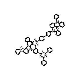 c1ccc(-c2cc(-c3cc(-c4nc(-c5ccccc5)nc(-c5ccccc5)n4)ccc3-n3c4ccccc4c4c5sc6ccccc6c5ccc43)nc(-c3ccc(-c4ccc(N5c6ccccc6B6c7ccccc7N(c7ccccc7)c7cccc5c76)cc4)cc3)n2)cc1